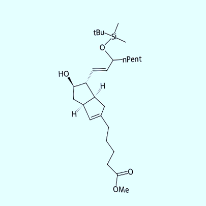 CCCCCC(C=C[C@@H]1[C@H]2CC(CCCCC(=O)OC)=C[C@H]2C[C@H]1O)O[Si](C)(C)C(C)(C)C